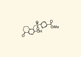 COC(=O)c1ccc(S(=O)(=O)Cc2c(O)ccc3c2CCCC3=O)cc1